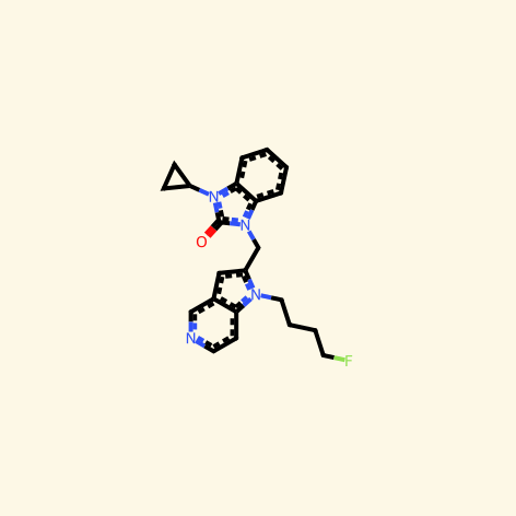 O=c1n(Cc2cc3cnccc3n2CCCCF)c2ccccc2n1C1CC1